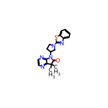 CC1(C)C(=O)N(C2CCN(c3nc4ccccc4s3)C2)c2nccnc21